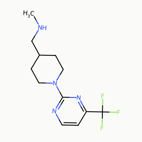 CNCC1CCN(c2nccc(C(F)(F)F)n2)CC1